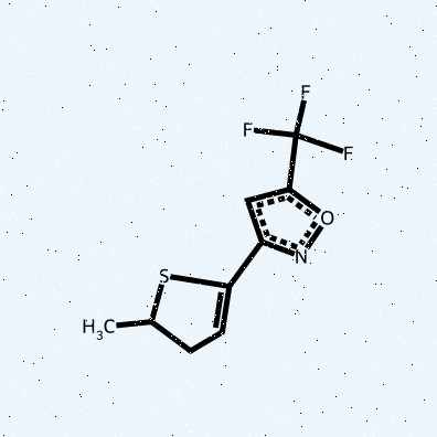 CC1CC=C(c2cc(C(F)(F)F)on2)S1